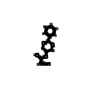 CCCCCCCCCC(=O)OC1COC(c2ccccc2)OC1